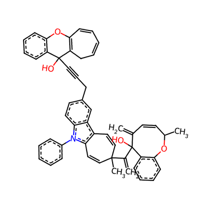 C=C1/C=C\C(C)Oc2ccccc2C1(O)C(=C)C1(C)C=Cc2c(n(-c3ccccc3)c3ccc(CC#CC4(O)C5=C(C=CC=CC5)Oc5ccccc54)cc23)C=C1